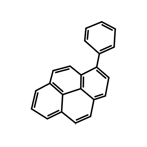 [c]1cc2ccc(-c3ccccc3)c3ccc4cccc1c4c23